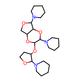 C1CCN(C2OCCC2OC2OC3COC(N4CCCCC4)C3OC2N2CCCCC2)CC1